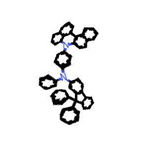 c1ccc(N(c2ccc(N3c4ccc5ccccc5c4-c4cccc5cccc3c45)cc2)c2ccc3c(c2)C(c2ccccc2)(c2ccccc2)c2ccccc2-3)cc1